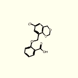 O=C(O)c1ccccc1OCc1cc(Cl)cc2c1OCOC2